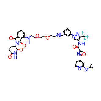 CN(c1cc(-c2nc(C(=O)Nc3cn(-c4cccc(CNCCOCCOCCNc5cccc6c5C(=O)N(C5CCC(=O)NC5=O)C6=O)c4)nc3C(F)(F)F)co2)ccn1)C1CC1